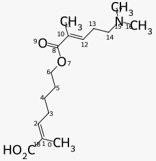 CC(=CCCCCOC(=O)C(C)=CCCN(C)C)C(=O)O